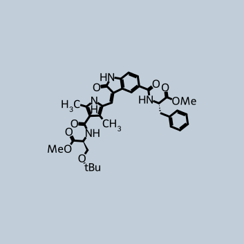 COC(=O)[C@H](Cc1ccccc1)NC(=O)c1ccc2c(c1)/C(=C/c1[nH]c(C)c(C(=O)N[C@@H](COC(C)(C)C)C(=O)OC)c1C)C(=O)N2